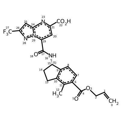 C=CCOC(=O)c1ccc2c(c1C)CC[C@@H]2NC(=O)c1cc(C(=O)O)nc2cc(C(F)(F)F)nn12